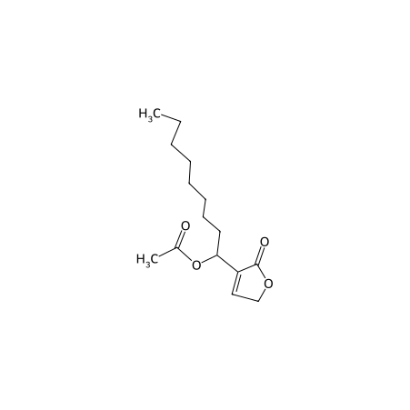 CCCCCCCCC(OC(C)=O)C1=CCOC1=O